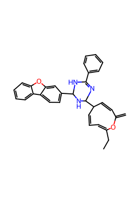 C=C1/C=C\C(C2N=C(c3ccccc3)NC(c3ccc4c(c3)oc3ccccc34)N2)/C=C\C=C(/CC)O1